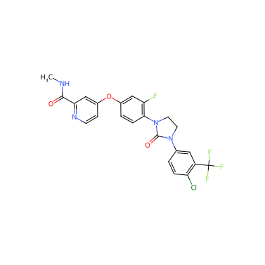 CNC(=O)c1cc(Oc2ccc(N3CCN(c4ccc(Cl)c(C(F)(F)F)c4)C3=O)c(F)c2)ccn1